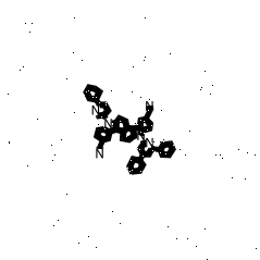 N#Cc1ccc2c(c1)c1c3ccc4c(c3ccc1n2-c1ccc(-c2ccccc2)nc1)c1cc(C#N)ccc1n4-c1cc(-c2ccccc2)cc(-c2ccccc2)n1